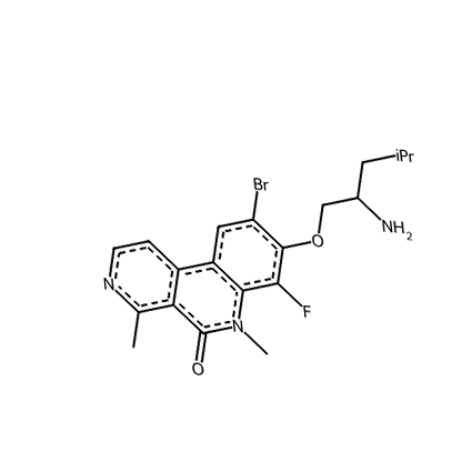 Cc1nccc2c1c(=O)n(C)c1c(F)c(OCC(N)CC(C)C)c(Br)cc21